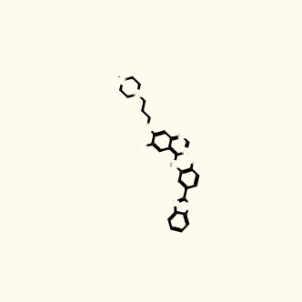 COc1cc2c(Nc3cc(-c4nc5ccccc5s4)ccc3Cl)ncnc2cc1OCCCN1CCN(C)CC1